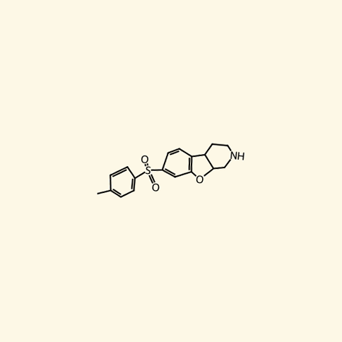 Cc1ccc(S(=O)(=O)c2ccc3c(c2)OC2CNCCC32)cc1